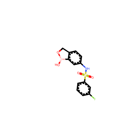 O=S(=O)(Nc1ccc2c(c1)B(O)OC2)c1cccc(F)c1